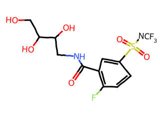 O=C(NCC(O)C(O)CO)c1cc(S(=O)(=O)NC(F)(F)F)ccc1F